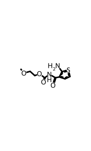 COCCOC(=O)NC(=O)c1ccsc1N